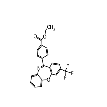 CCOC(=O)c1ccc(C2=Nc3ccccc3Oc3cc(C(F)(F)F)ccc32)cc1